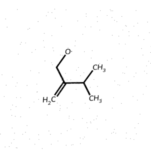 C=C(C[O])C(C)C